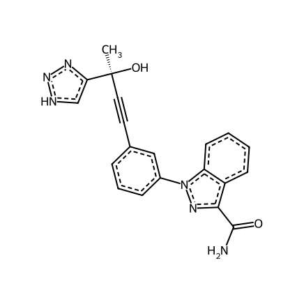 C[C@](O)(C#Cc1cccc(-n2nc(C(N)=O)c3ccccc32)c1)c1c[nH]nn1